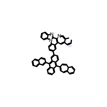 C/C=C\C1=Cc2c(c3nc4ccccc4n3c3ccc(-c4ccc5c(C6=CC=C7C=CC=CC7C=C6)c6ccccc6c(-c6ccc7ccccc7c6)c5c4)cc23)N=C=C1C